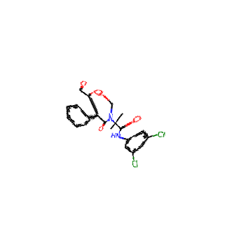 CC(C)(C(=O)Nc1cc(Cl)cc(Cl)c1)N1COC(C=O)=C(c2ccccc2)C1=O